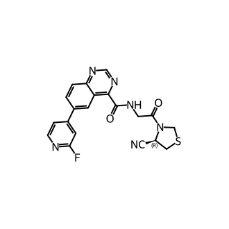 N#C[C@@H]1CSCN1C(=O)CNC(=O)c1ncnc2ccc(-c3ccnc(F)c3)cc12